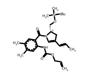 C=CCOC(=O)Nc1cc(C)c(C)cc1C(=O)N1C=C(/C=C/C)C[C@H]1CO[Si](C)(C)C(C)(C)C